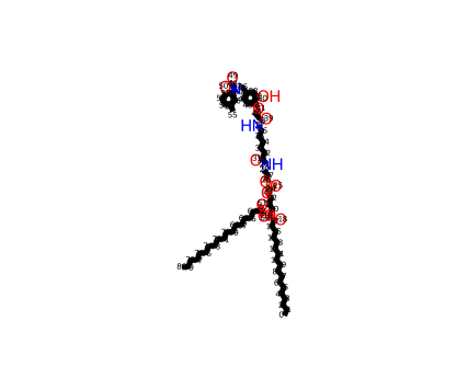 CCCCCCCCCCCCCCCCCC(=O)OCC(COS(=O)OCCNC(=O)CCCCCNC(=O)COc1ccc(Cn2c(=O)oc3ccc(C)cc32)cc1O)OC(=O)CCCCCCCCCCCCCCCCC